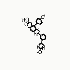 COc1ncc(-c2cccc(-c3nc4cc(C)c(CC(=O)O)c(-c5ccc(Cl)cc5)c4s3)c2)cn1